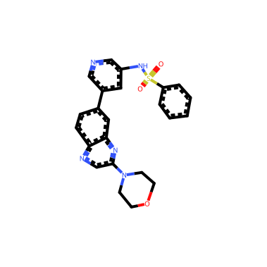 O=S(=O)(Nc1cncc(-c2ccc3ncc(N4CCOCC4)nc3c2)c1)c1ccccc1